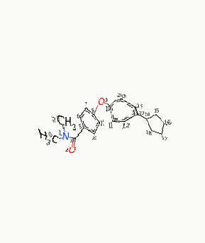 CN(C)C(=O)c1ccc(Oc2ccc(C3CCCC3)cc2)cc1